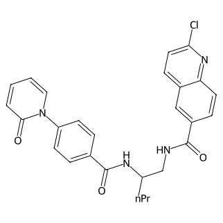 CCCC(CNC(=O)c1ccc2nc(Cl)ccc2c1)NC(=O)c1ccc(-n2ccccc2=O)cc1